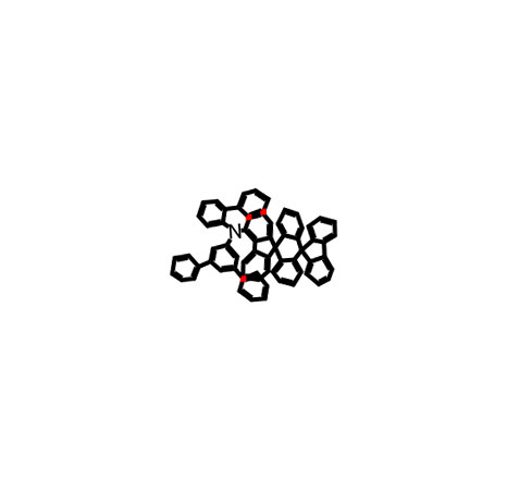 c1ccc(-c2cc(-c3ccccc3)cc(N(c3ccccc3-c3ccccc3)c3cccc4c3-c3ccccc3C43c4ccccc4C4(c5ccccc5-c5ccccc54)c4ccccc43)c2)cc1